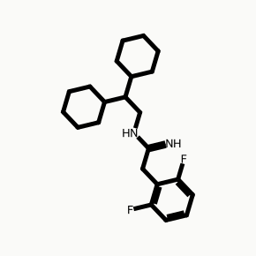 N=C(Cc1c(F)cccc1F)NCC(C1CCCCC1)C1CCCCC1